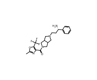 Cc1nc(C(=O)N2CC3CN(CC[C@H](N)c4ccccc4)CC3C2)c(C(F)(F)F)o1